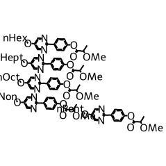 CCCCCCCCCOc1cnc(-c2ccc(OC(=O)C(C)OC)cc2)nc1.CCCCCCCCOc1cnc(-c2ccc(OC(=O)C(C)OC)cc2)nc1.CCCCCCCOc1cnc(-c2ccc(OC(=O)C(C)OC)cc2)nc1.CCCCCCOc1cnc(-c2ccc(OC(=O)C(C)OC)cc2)nc1.CCCCCOc1cnc(-c2ccc(OC(=O)C(C)OC)cc2)nc1